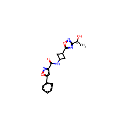 C[C@H](O)c1noc(C2CC(NC(=O)c3cc(-c4ccccc4)on3)C2)n1